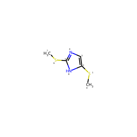 CSc1cnc(SC)[nH]1